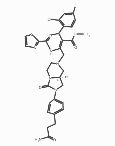 COC(=O)C1=C(CN2CCN3C(=O)N(c4ccc(CCC(N)=O)cc4)C[C@@H]3C2)NC(c2nccs2)=NC1c1ccc(F)cc1Cl